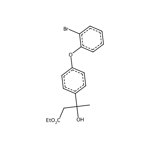 CCOC(=O)CC(C)(O)c1ccc(Oc2ccccc2Br)cc1